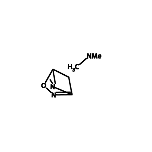 C1c2noc1n2.CNC